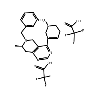 C[C@@H]1Cc2ncnc(C3=CCCN(C(=O)O)C3)c2CN1Cc1ccccc1.O=C(O)C(F)(F)F.O=C(O)C(F)(F)F